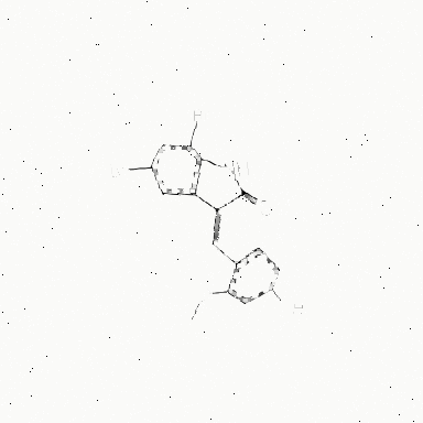 COc1cc(O)ccc1C=C1C(=O)Nc2c(Br)cc(Br)cc21